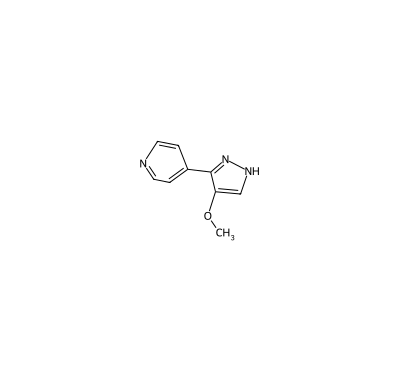 COc1c[nH]nc1-c1ccncc1